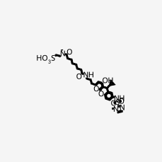 CN(CCS(=O)(=O)O)C(=O)CCCCCCC(=O)NCCCc1cc(O)c(C(c2cccc(NS(=O)(=O)c3nccn3C)c2)C2CC2)c(=O)o1